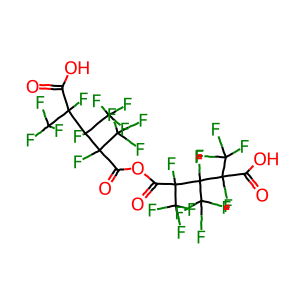 O=C(O)C(F)(C(F)(F)F)C(F)(C(F)(F)F)C(F)(C(=O)OC(=O)C(F)(C(F)(F)F)C(F)(C(F)(F)F)C(F)(C(=O)O)C(F)(F)F)C(F)(F)F